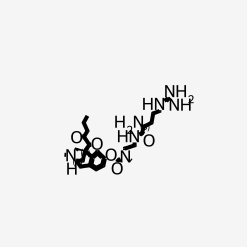 CCCC(=O)C1Oc2c(OC(=O)N(C)CCNC(=O)[C@@H](N)CCCNC(=N)N)ccc3c2[C@]12C[C@@H](C3)N(C)C2